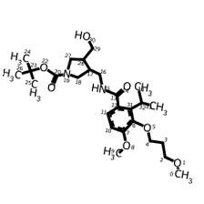 COCCCOc1c(OC)ccc(C(=O)NCC2CN(C(=O)OC(C)(C)C)CC2CO)c1C(C)C